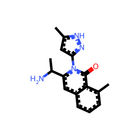 Cc1cc(-n2c(C(C)N)cc3cccc(C)c3c2=O)n[nH]1